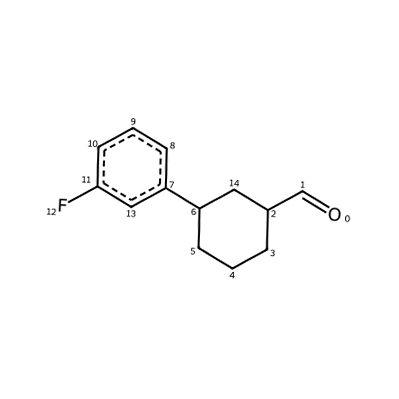 O=CC1CCCC(c2cccc(F)c2)C1